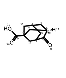 O=C1C2CC3C[C@@H]1CC(C(=O)O)(C3)C2